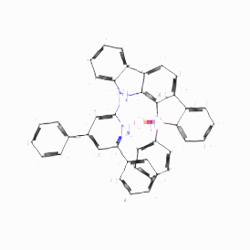 O=P1(c2ccccc2)c2ccccc2-c2ccc3c4ccccc4n(-c4cc(-c5ccccc5)cc(-c5ccccc5)n4)c3c21